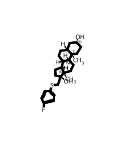 C[C@]12CC[C@@H](O)C[C@H]1CC[C@@H]1[C@@H]2CC[C@@]2(C)[C@H]1CC[C@@]2(O)CSc1ccc(F)cc1